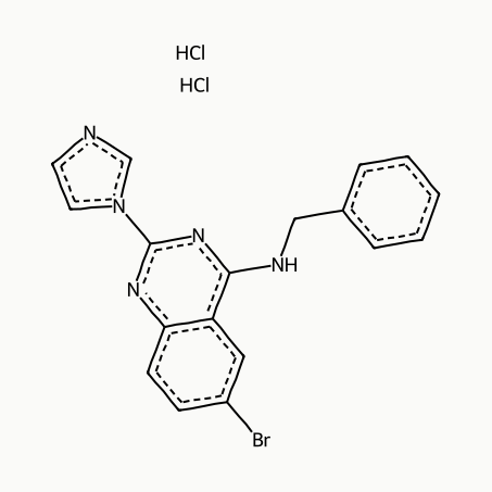 Brc1ccc2nc(-n3ccnc3)nc(NCc3ccccc3)c2c1.Cl.Cl